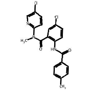 Cc1ccc(C(=O)Nc2ccc(Cl)cc2C(=O)N(C)c2ccc(Cl)cn2)cc1